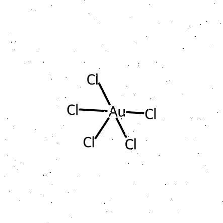 [Cl][Au]([Cl])([Cl])([Cl])[Cl]